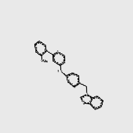 COc1ccccc1-c1cc(Nc2ccc(Cn3cnc4ccccc43)cc2)ncn1